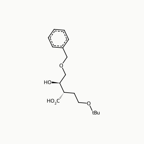 CC(C)(C)OCC[C@H](C(=O)O)[C@@H](O)COCc1ccccc1